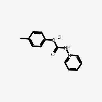 Cc1ccc(OC(=O)N[n+]2ccccc2)cc1.[Cl-]